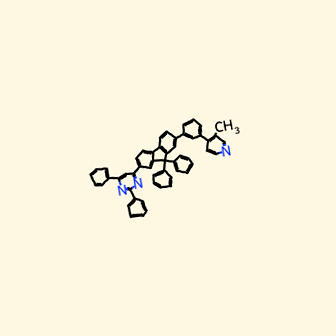 Cc1cnccc1-c1cccc(-c2ccc3c(c2)C(c2ccccc2)(c2ccccc2)c2cc(-c4cc(-c5ccccc5)nc(-c5ccccc5)n4)ccc2-3)c1